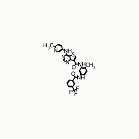 Cc1ccc(Nc2ncnc3c(C(=O)Nc4cc(NC(=O)c5cccc(C(F)(F)F)c5)ccc4C)csc23)cn1